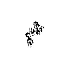 CC(C(=O)Nc1cccc(-c2cnc(C(F)(F)F)nc2)n1)n1cnc2c1c(=O)n(Cc1ccon1)c(=O)n2C